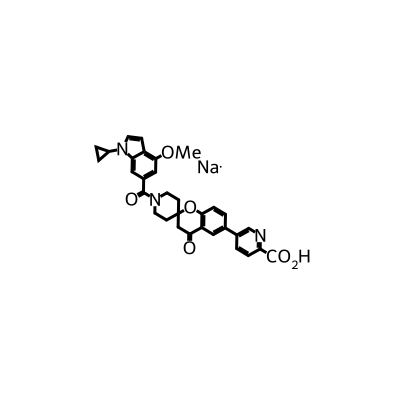 COc1cc(C(=O)N2CCC3(CC2)CC(=O)c2cc(-c4ccc(C(=O)O)nc4)ccc2O3)cc2c1ccn2C1CC1.[Na]